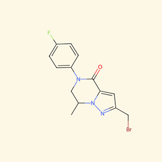 CC1CN(c2ccc(F)cc2)C(=O)c2cc(CBr)nn21